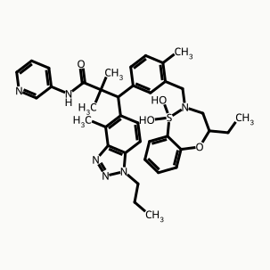 CCCn1nnc2c(C)c(C(c3ccc(C)c(CN4CC(CC)Oc5ccccc5S4(O)O)c3)C(C)(C)C(=O)Nc3cccnc3)ccc21